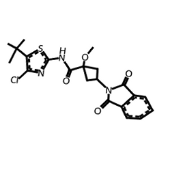 COC1(C(=O)Nc2nc(Cl)c(C(C)(C)C)s2)CC(N2C(=O)c3ccccc3C2=O)C1